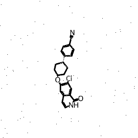 N#Cc1ccc([C@H]2CC[C@H](Oc3cc4cc[nH]c(=O)c4cc3Cl)CC2)cc1